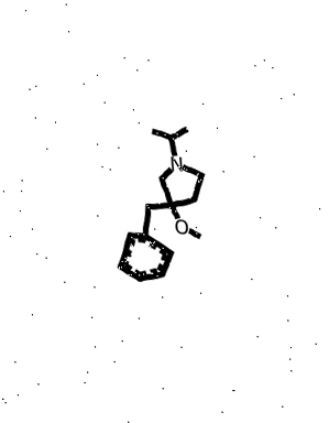 COC1(Cc2ccccc2)CCN(C(C)C)C1